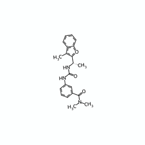 Cc1c([C@H](C)NC(=O)Nc2cccc(C(=O)N(C)C)c2)oc2ccccc12